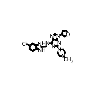 CN1CCN(c2nc(NCc3nc4cc(Cl)ccc4[nH]3)c3ncn(-c4ccoc4)c3n2)CC1